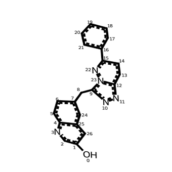 Oc1cnc2ccc(Cc3nnc4ccc(-c5ccccc5)nn34)cc2c1